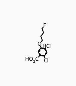 Cl.O=C(O)c1cc(OCCCCF)ccc1Cl